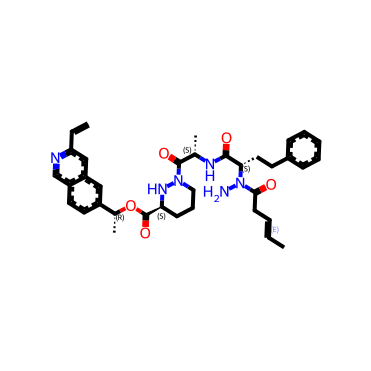 C=Cc1cc2cc([C@@H](C)OC(=O)[C@@H]3CCCN(C(=O)[C@H](C)NC(=O)[C@H](CCc4ccccc4)N(N)C(=O)C/C=C/C)N3)ccc2cn1